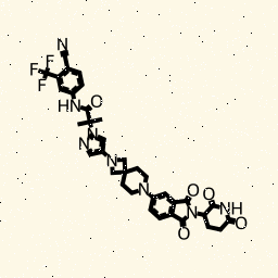 CC(C)(C(=O)Nc1ccc(C#N)c(C(F)(F)F)c1)n1cc(N2CC3(CCN(c4ccc5c(c4)C(=O)N(C4CCC(=O)NC4=O)C5=O)CC3)C2)cn1